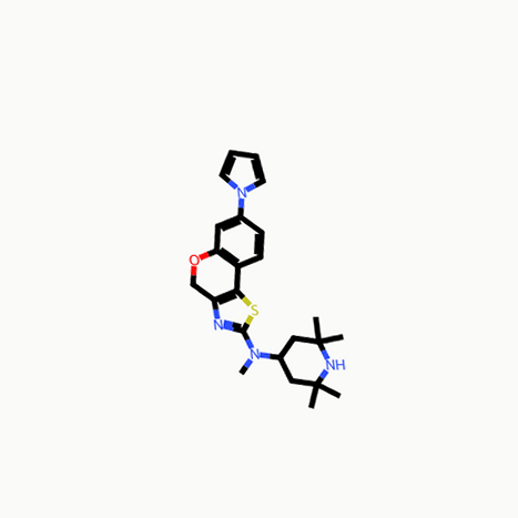 CN(c1nc2c(s1)-c1ccc(-n3cccc3)cc1OC2)C1CC(C)(C)NC(C)(C)C1